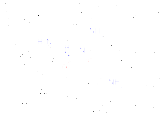 NCCNC(=O)C(Cc1ccc(N)cc1)C(=O)NCCN